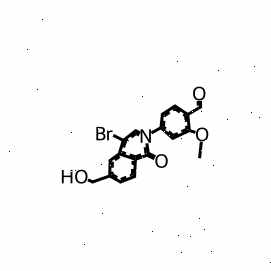 COc1cc(-n2cc(Br)c3cc(CO)ccc3c2=O)ccc1C=O